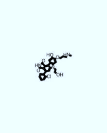 CNCCCOc1cc2c(cc1O)c1c3c(c(-c4ccccc4Cl)cc1n2CCO)C(=O)NC3=O